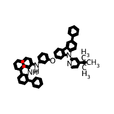 CC(C)(C)c1ccnc(-n2c3ccc(-c4ccccc4)cc3c3ccc(Oc4cccc(Nc5ccccc5Nc5c(-c6ccccc6)cccc5-c5ccccc5)c4)cc32)c1